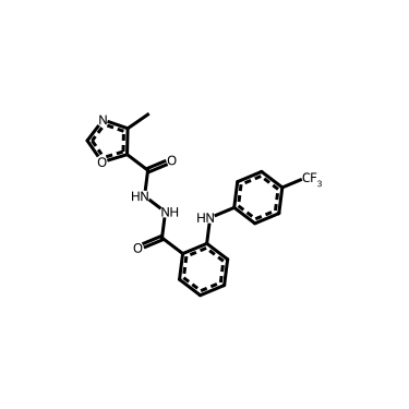 Cc1ncoc1C(=O)NNC(=O)c1ccccc1Nc1ccc(C(F)(F)F)cc1